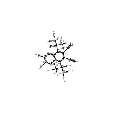 N#Cc1c(C#N)c(C(F)(C(F)(F)F)C(F)(F)F)c2cc(F)c(F)cc2c1C(F)(C(F)(F)F)C(F)(F)F